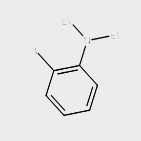 CCN(CC)c1[c]cccc1I